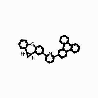 c1cc(-c2ccc3c(c2)[C@H]2C[C@H]2c2ccccc2S3)nc(-c2ccc3c4ccccc4c4ccccc4c3c2)c1